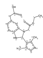 CCOC(=O)CN1c2cc(CC(=O)O)ccc2NC1c1c(C)noc1C